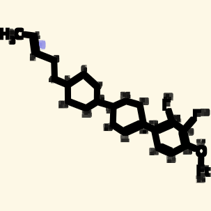 C/C=C/CCC1CCC(C2CC=C(c3ccc(OCC)c(F)c3F)CC2)CC1